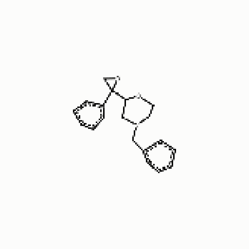 c1ccc(CN2CCOC(C3(c4ccccc4)CO3)C2)cc1